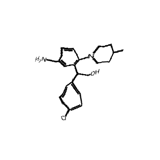 CC1CCN(c2ccc(N)cc2C(O)c2ccc(Cl)cc2)CC1